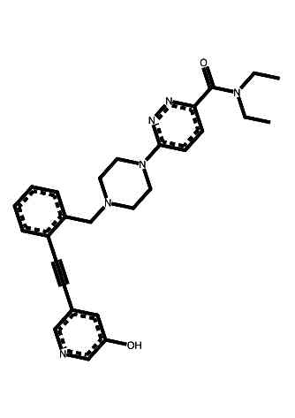 CCN(CC)C(=O)c1ccc(N2CCN(Cc3ccccc3C#Cc3cncc(O)c3)CC2)nn1